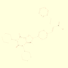 Cn1c(-c2ccc(/C=C(\CCc3ccccn3)C(N)=O)cc2)nc2c(=O)n(C3CCCCC3)c(=O)n(C3CCCCC3)c21